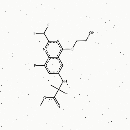 COC(=O)C(C)(C)Nc1cc(F)c2nc(C(F)F)nc(OCCO)c2c1